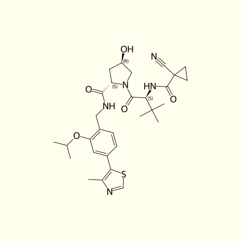 Cc1ncsc1-c1ccc(CNC(=O)[C@@H]2C[C@@H](O)CN2C(=O)[C@@H](NC(=O)C2(C#N)CC2)C(C)(C)C)c(OC(C)C)c1